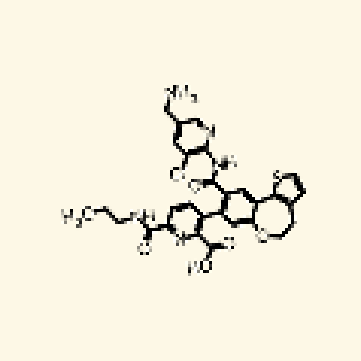 CCCNC(=O)c1ccc(-c2cc3c(cc2C(=O)Nc2ncc(CN)cc2Cl)-c2sccc2CCO3)c(C(=O)O)n1